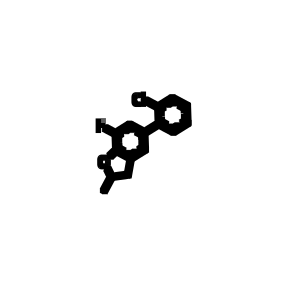 CC1Cc2cc(-c3ccccc3Cl)cc(F)c2O1